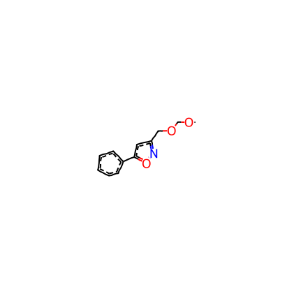 [O]COCc1cc(-c2ccccc2)on1